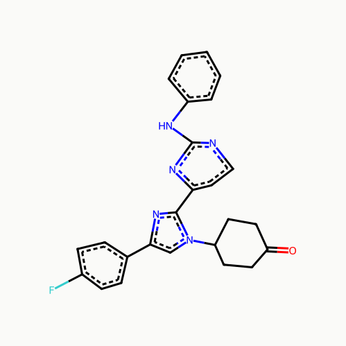 O=C1CCC(n2cc(-c3ccc(F)cc3)nc2-c2ccnc(Nc3ccccc3)n2)CC1